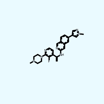 C=C(Nc1cc2cc(-c3cnn(C)c3)ccc2cn1)c1ccnc(N2CCN(C)CC2)c1F